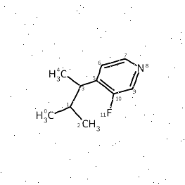 CC(C)C(C)c1ccncc1F